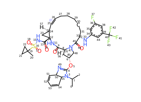 CC(C)N1C(O[C@@H]2C[C@H]3C(=O)N[C@]4(C(=O)NS(=O)(=O)C5(C)CC5)C[C@H]4/C=C\CCCCC[C@H](Nc4cc(F)cc(C(F)(F)F)c4)C(=O)N3C2)=NC2C=CC=CC21